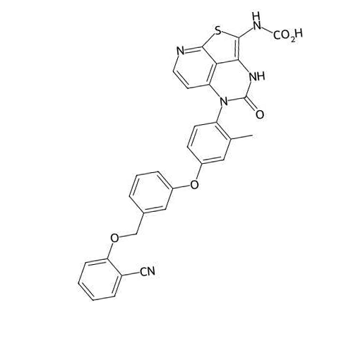 Cc1cc(Oc2cccc(COc3ccccc3C#N)c2)ccc1N1C(=O)Nc2c(NC(=O)O)sc3nccc1c23